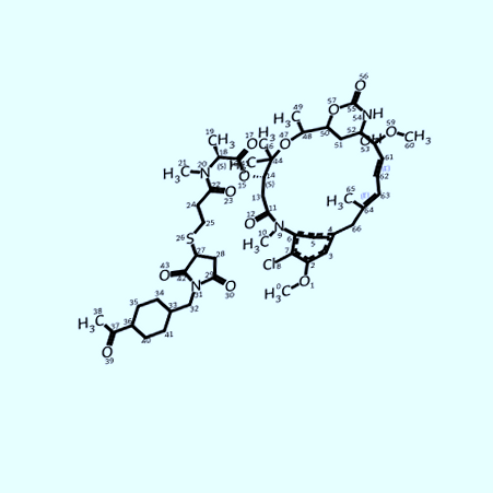 COc1cc2cc(c1Cl)N(C)C(=O)C[C@H](OC(=O)[C@H](C)N(C)C(=O)CCSC1CC(=O)N(CC3CCC(C(C)=O)CC3)C1=O)C(C)(C)OC(C)C1CC(O)(NC(=O)O1)C(OC)/C=C/C=C(\C)C2